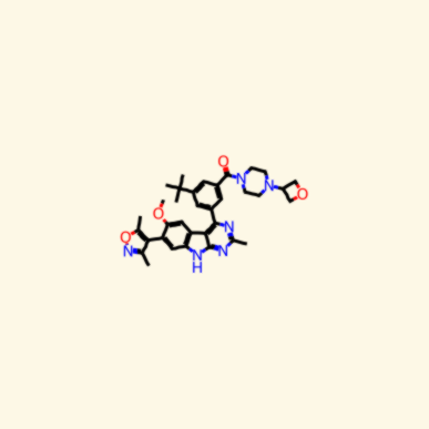 COc1cc2c(cc1-c1c(C)noc1C)[nH]c1nc(C)nc(-c3cc(C(=O)N4CCN(C5COC5)CC4)cc(C(C)(C)C)c3)c12